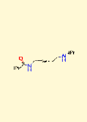 CC(C)NCCC#CCNC(=O)C(C)C